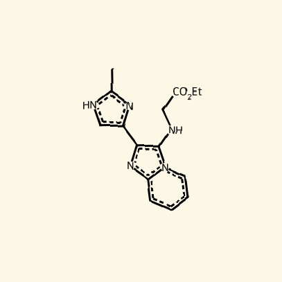 CCOC(=O)CNc1c(-c2c[nH]c(C)n2)nc2ccccn12